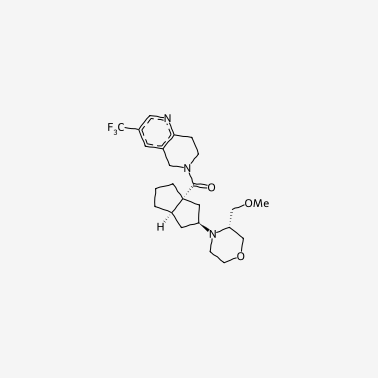 COC[C@@H]1COCCN1[C@H]1C[C@H]2CCC[C@@]2(C(=O)N2CCc3ncc(C(F)(F)F)cc3C2)C1